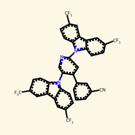 N#Cc1cccc(-c2cc(-n3c4ccc(C(F)(F)F)cc4c4cc(C(F)(F)F)ccc43)ncc2-n2c3ccc(C(F)(F)F)cc3c3cc(C(F)(F)F)ccc32)c1